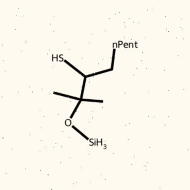 CCCCCCC(S)C(C)(C)O[SiH3]